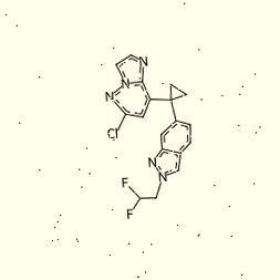 FC(F)Cn1cc2ccc(C3(c4cc(Cl)nn5ccnc45)CC3)cc2n1